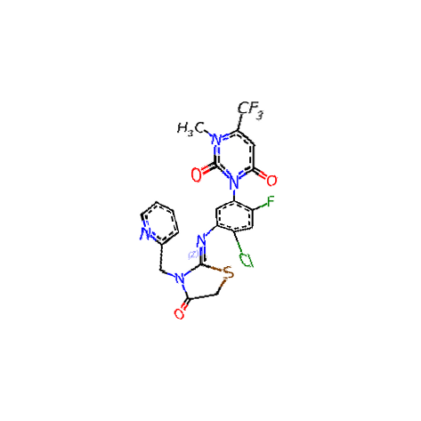 Cn1c(C(F)(F)F)cc(=O)n(-c2cc(/N=C3\SCC(=O)N3Cc3ccccn3)c(Cl)cc2F)c1=O